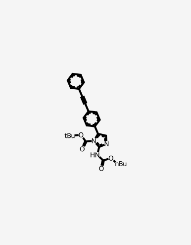 CCCCOC(=O)Nc1ncc(-c2ccc(C#Cc3ccccc3)cc2)n1C(=O)OC(C)(C)C